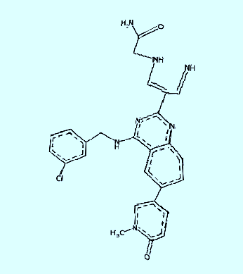 Cn1cc(-c2ccc3nc(/C(C=N)=C/NCC(N)=O)nc(NCc4cccc(Cl)c4)c3c2)ccc1=O